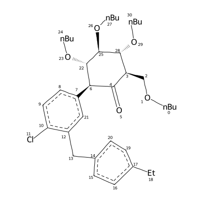 CCCCOC[C@H]1C(=O)[C@@H](c2ccc(Cl)c(Cc3ccc(CC)cc3)c2)[C@H](OCCCC)[C@@H](OCCCC)[C@@H]1OCCCC